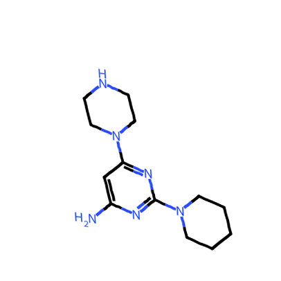 Nc1cc(N2CCNCC2)nc(N2CCCCC2)n1